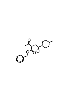 CC(=O)C(CC(=O)C1CCC(C)CC1)C(=O)OCc1ccccc1